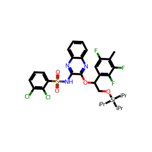 Cc1c(F)cc(C(CO[Si](C(C)C)(C(C)C)C(C)C)Oc2nc3ccccc3nc2NS(=O)(=O)c2cccc(Cl)c2Cl)c(F)c1F